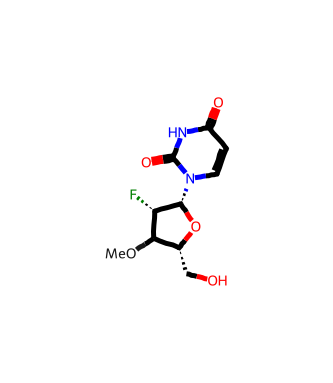 COC1[C@@H](CO)O[C@@H](n2ccc(=O)[nH]c2=O)[C@H]1F